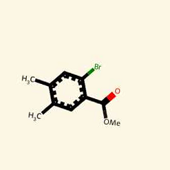 COC(=O)c1cc(C)c(C)cc1Br